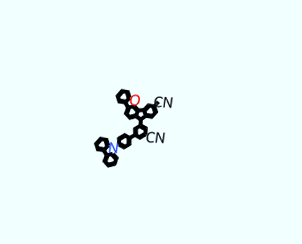 N#Cc1cc(-c2ccc(-n3c4ccccc4c4ccccc43)cc2)cc(C2c3ccc(C#N)cc3-c3c2ccc2c3oc3ccccc32)c1